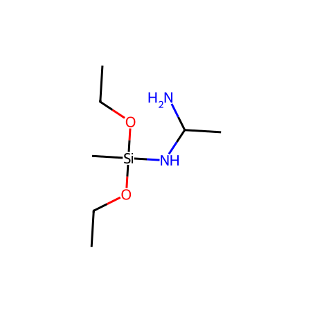 CCO[Si](C)(NC(C)N)OCC